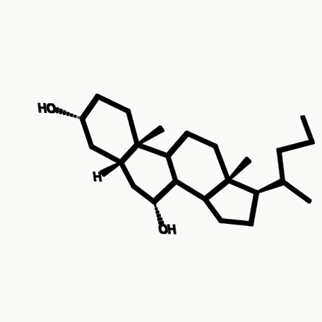 CCCC(C)[C@H]1CCC2C3C(CC[C@@]21C)[C@@]1(C)CC[C@@H](O)C[C@H]1C[C@H]3O